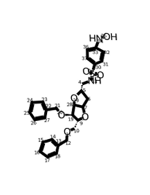 O=S(=O)(NC[C@@H]1CC2O[C@H](COCc3ccccc3)[C@@H](OCc3ccccc3)C2O1)c1ccc(NO)cc1